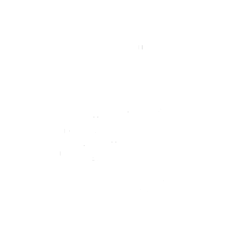 CCC(C)(C)C(=O)OCc1cccc(C)c1CC(C)Oc1ccc(C(=O)C(=O)O)cc1